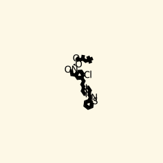 CC(CC(C)(C)C)C(=O)OCN1C(=O)Cc2cc(CCN3CCN(c4nsc5ccccc45)CC3)c(Cl)cc21